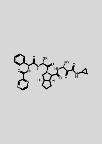 CCC[C@H](NC(=O)C1[C@H]2CCC[C@H]2CN1C(=O)[C@@H](NC(=O)[C@@H](NC(=O)c1cnccn1)c1ccccc1)C(C)(C)C)C(=O)C(=O)NC1CC1